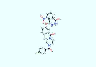 O=C(c1ccc(F)cc1)N1CCN(C(=O)c2cc(Oc3n[nH]c(=O)c4cccc([N+](=O)[O-])c34)ccc2F)CC1